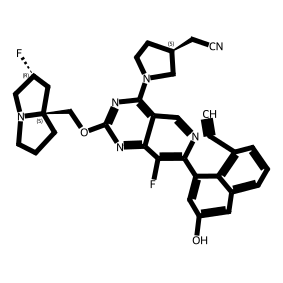 C#Cc1cccc2cc(O)cc(-c3ncc4c(N5CC[C@@H](CC#N)C5)nc(OC[C@@]56CCCN5C[C@H](F)C6)nc4c3F)c12